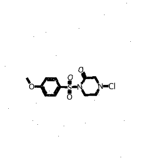 COc1ccc(S(=O)(=O)N2CCN(Cl)CC2=O)cc1